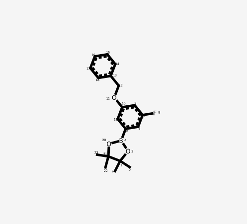 CC1(C)OB(c2cc(F)cc(OCc3ccccc3)c2)OC1(C)C